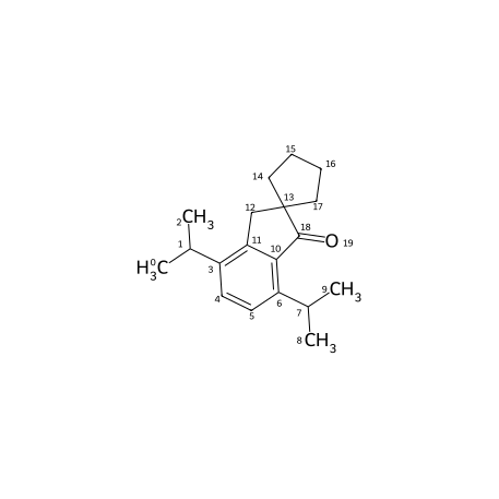 CC(C)c1ccc(C(C)C)c2c1CC1(CCCC1)C2=O